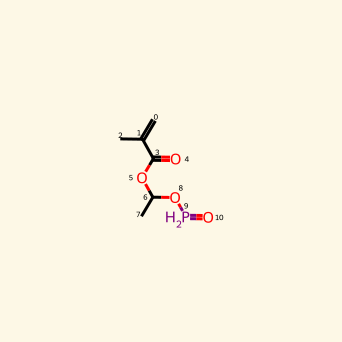 C=C(C)C(=O)OC(C)O[PH2]=O